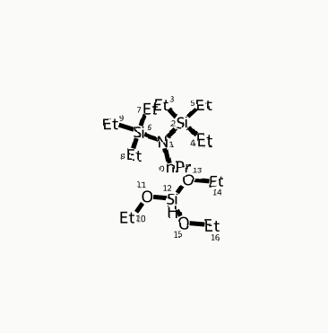 CCCN([Si](CC)(CC)CC)[Si](CC)(CC)CC.CCO[SiH](OCC)OCC